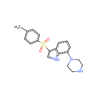 Cc1ccc(S(=O)(=O)c2c[nH]c3c(N4CCNCC4)cccc23)cc1